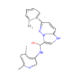 Cc1cc(C)c(NC(=O)C2=CNC3C=CC(c4ccccc4C(F)(F)F)=NN23)cn1